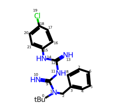 CC(C)(C)N(Cc1ccccc1)C(=N)NC(=N)Nc1ccc(Cl)cc1